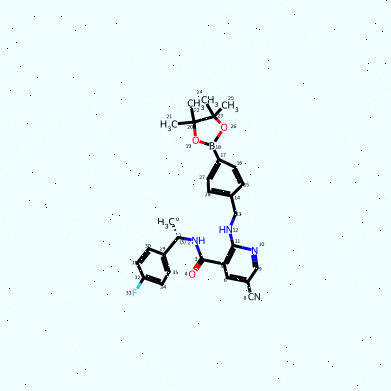 C[C@H](NC(=O)c1cc(C#N)cnc1NCc1ccc(B2OC(C)(C)C(C)(C)O2)cc1)c1ccc(F)cc1